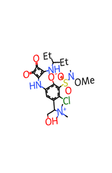 CCC(CC)Nc1c(Nc2cc(C(CO)[N+](C)(C)C)c(Cl)c(S(=O)(=O)N(C)OC)c2[O-])c(=O)c1=O